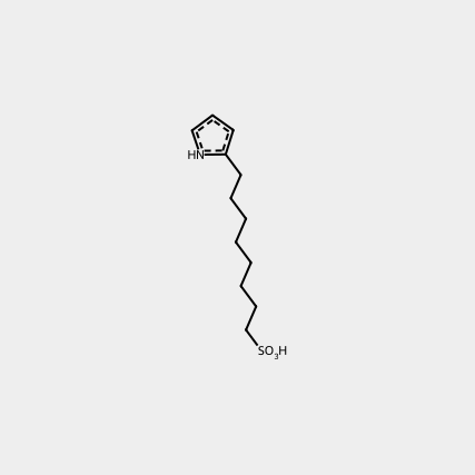 O=S(=O)(O)CCCCCCCCc1ccc[nH]1